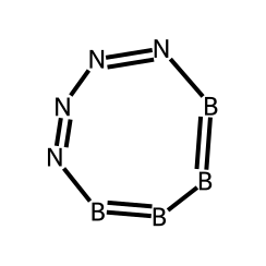 B1=BN=NN=NB=B1